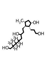 [2H]C([2H])(CO)C([2H])([2H])C([2H])([2H])CC(O)CC[C@@H]1[C@@H](CCCO)[C@@H](O)C[C@H]1C